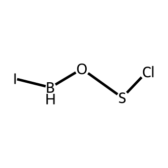 ClSOBI